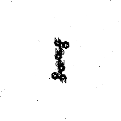 c1ccc2c(c1)c1cnccc1n2-c1ccc2nc(-c3ccc4nc(-n5c6ccccc6c6cnccc65)oc4c3)oc2c1